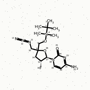 CC(C)(C)[Si](C)(C)OCC1(CN=[N+]=[N-])C[C@@H](F)[C@H](n2ccc(N)nc2=O)O1